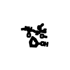 CNC(=O)CSP(=S)(OC)OC.Oc1ccccc1